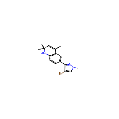 CC1=CC(C)(C)Nc2ccc(-c3nn(C)cc3Br)cc21